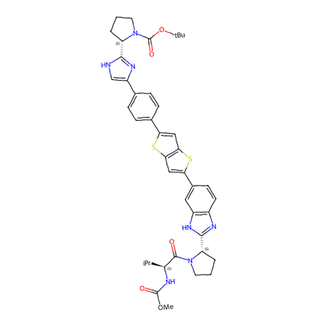 COC(=O)N[C@H](C(=O)N1CCC[C@H]1c1nc2ccc(-c3cc4sc(-c5ccc(-c6c[nH]c([C@@H]7CCCN7C(=O)OC(C)(C)C)n6)cc5)cc4s3)cc2[nH]1)C(C)C